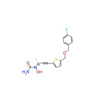 C[C@H](C#Cc1ccc(COCc2ccc(F)cc2)s1)N(O)C(N)=O